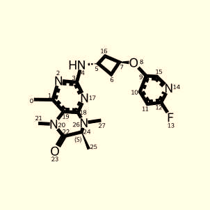 Cc1nc(N[C@H]2C[C@H](Oc3ccc(F)nc3)C2)nc2c1N(C)C(=O)[C@H](C)N2C